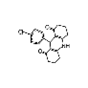 O=C1CCCC2=C1C(c1ccc(Cl)cc1)C1=C(CCCC1=O)N2